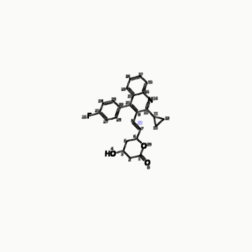 O=C1CC(O)CC(/C=C/c2c(C3CC3)nc3ccccc3c2-c2ccc(F)cc2)O1